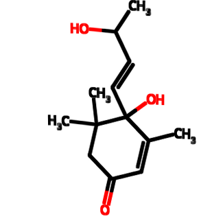 CC1=CC(=O)CC(C)(C)C1(O)C=CC(C)O